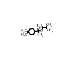 C=C(C)C(O)OC(C)(C)C1CCC(C)(C)CC1